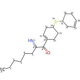 CCCCCCC(=N)C(=O)C1=CCC(SC2CC=CCC2)CC1